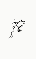 COCCOC1(C([NH])=O)C([C]=O)C1(C)C